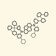 c1ccc(-c2ccccc2-c2ccccc2-c2cccc(N(c3cccc(C4CCCCC4)c3)c3ccc4ccc5c(N(c6cccc(C7CCCCC7)c6)c6cccc(C7(c8ccccc8)c8ccccc8-c8ccccc87)c6)ccc6ccc3c4c65)c2)cc1